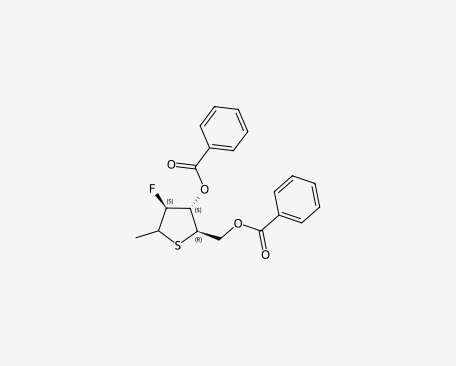 CC1S[C@H](COC(=O)c2ccccc2)[C@@H](OC(=O)c2ccccc2)[C@@H]1F